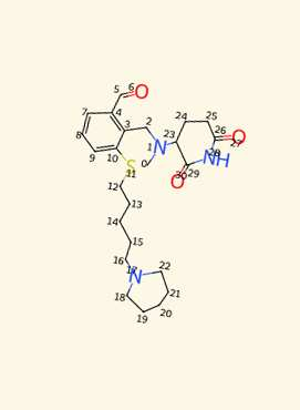 CN(Cc1c(C=O)cccc1SCCCCCN1CCCCC1)C1CCC(=O)NC1=O